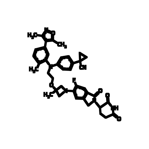 Cc1ccc(-c2c(C)noc2C)cc1N(CCOC1(C)CN(c2cc3c(cc2F)C(=O)N(C2CCC(=O)NC2=O)C3)C1)c1ccc(C2(C#N)CC2)cc1